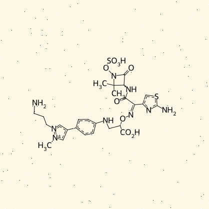 C[n+]1cc(-c2ccc(NCC(O/N=C(\C(=O)N[C@@H]3C(=O)N(OS(=O)(=O)O)C3(C)C)c3csc(N)n3)C(=O)O)cc2)cn1CCCN